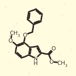 COC(=O)c1cc2c(OCc3ccccc3)c(OC)ccc2[nH]1